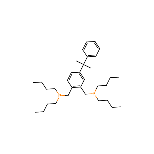 CCCCP(CCCC)Cc1ccc(C(C)(C)c2ccccc2)cc1CP(CCCC)CCCC